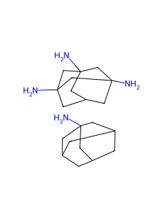 NC12CC3CC(CC(C3)C1)C2.NC12CC3CC(N)(C1)CC(N)(C3)C2